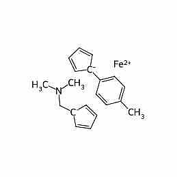 CN(C)C[c-]1cccc1.Cc1ccc(-[c-]2cccc2)cc1.[Fe+2]